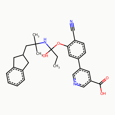 CCC(O)(NC(C)(C)CC1Cc2ccccc2C1)Oc1cc(-c2cncc(C(=O)O)c2)ccc1C#N